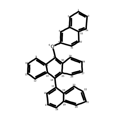 c1ccc2cc(Oc3c4ccccc4c(-c4cccc5ccccc45)c4ccccc34)ccc2c1